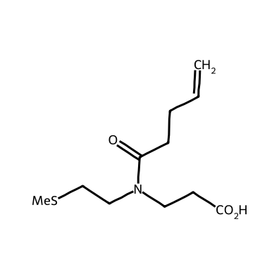 C=CCCC(=O)N(CCSC)CCC(=O)O